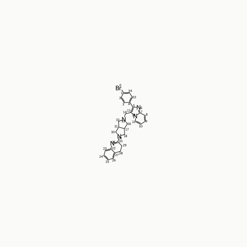 Brc1ccc(-c2nc3ccccn3c2CN2CC3CN(C4=Nc5ccccc5CC4)CC3C2)cc1